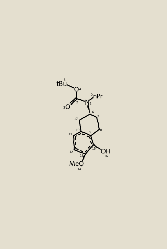 CCCN(C(=O)OC(C)(C)C)[C@H]1CCc2c(ccc(OC)c2O)C1